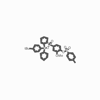 COc1cc(S(=O)(=O)OS(c2ccccc2)(c2ccccc2)c2ccc(C(C)(C)C)cc2)ccc1OS(=O)(=O)c1ccc(C)cc1